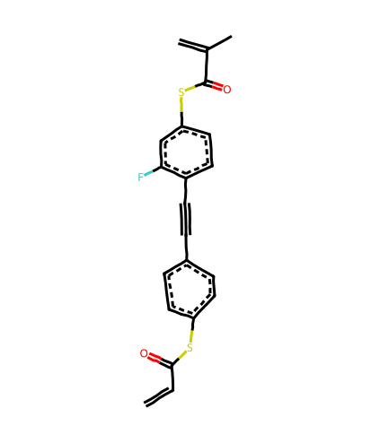 C=CC(=O)Sc1ccc(C#Cc2ccc(SC(=O)C(=C)C)cc2F)cc1